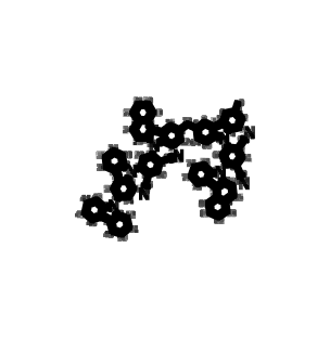 Cc1ccc2c(c1)c1cc(Cc3ccc4c(c3)c3c5ccccc5ccc3n4-c3cc(-n4c5ccccc5c5cc(-n6c7ccccc7c7ccccc76)ccc54)c(C#N)cc3C#N)ccc1n2-c1cc(-n2c3ccccc3c3c4ccccc4ccc32)c(C#N)cc1C#N